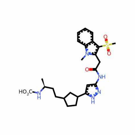 C[C@@H](CCC1CCC(c2cc(NC(=O)Cc3c(S(C)(=O)=O)c4ccccc4n3C)n[nH]2)C1)NC(=O)O